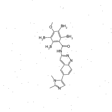 Bc1c(B)c(C(=O)Nc2cc3cc(-c4cnc(C)n4C)ccc3nn2)c(B)c(B)c1OC